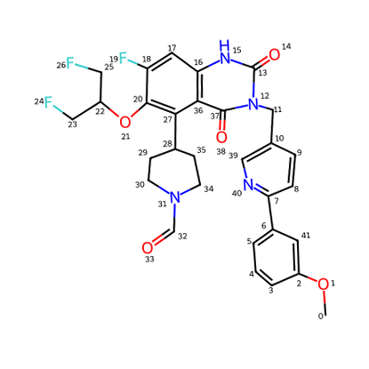 COc1cccc(-c2ccc(Cn3c(=O)[nH]c4cc(F)c(OC(CF)CF)c(C5CCN(C=O)CC5)c4c3=O)cn2)c1